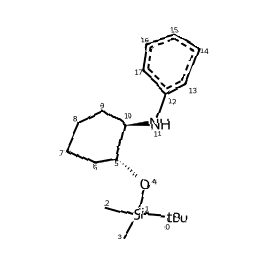 CC(C)(C)[Si](C)(C)O[C@@H]1CCCC[C@H]1Nc1ccccc1